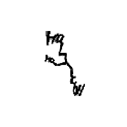 OCCCC(CO)CCCO